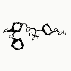 COc1ccc(C(COCc2ccc(F)c(Oc3ccccc3)c2)C(F)(F)F)cc1